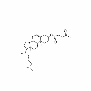 CC(=O)CCC(=O)OC1CCC2(C)C(=CCC3C2CCC2(C)C(C(C)CCCC(C)C)CCC32)C1